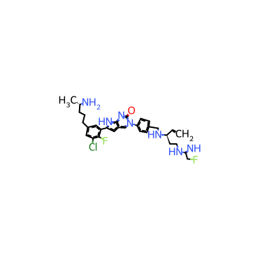 C=C[C@@H](CCNC(=N)CF)NCc1ccc(-n2cc3cc(-c4cc(CCC[C@H](C)N)cc(Cl)c4F)[nH]c3nc2=O)cc1